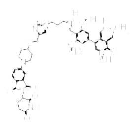 C=N/C=c1/c(=O)n(C)cc(-c2cc(OC)c(CN(C)CCCn3cc(COC4CCN(c5ccc6c(c5)C(=O)N(C5CCC(=O)NC5=O)C6=O)CC4)nn3)c(OC)c2)/c1=C/C